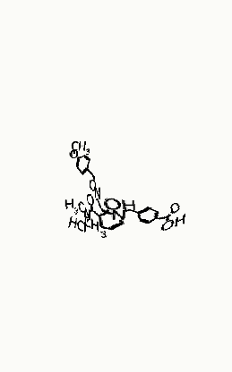 COc1ccc(CON=CC2(O)C(C(=O)N(C)C)=CC=CN2Cc2ccc(C(=O)O)cc2)cc1.Cl